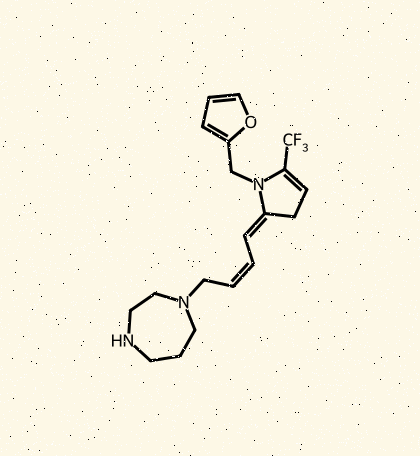 FC(F)(F)C1=CC/C(=C\C=C/CN2CCCNCC2)N1Cc1ccco1